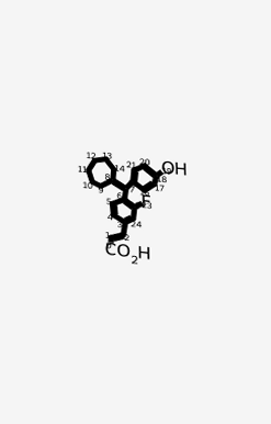 O=C(O)C=Cc1ccc(C(=C2CCCCCC2)c2ccc(O)cc2)c(F)c1